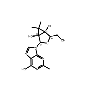 Cc1nc(O)c2ncn([C@@H]3O[C@H](CO)[C@@]4(O)C(C)(C)[C@@]34O)c2n1